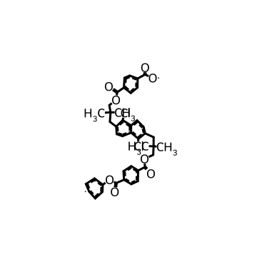 CC(C)(COC(=O)c1ccc(C([O])=O)cc1)Cc1ccc2c(Cl)c(CC(C)(C)COC(=O)c3ccc(C(=O)Oc4cc[c]cc4)cc3)ccc2c1Cl